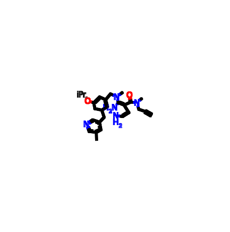 C#CCN(C)C(=O)C(/C=C\N)=C(/N)N(C)CC1=CC(Cc2cncc(C)c2)CC(OC(C)C)=C1